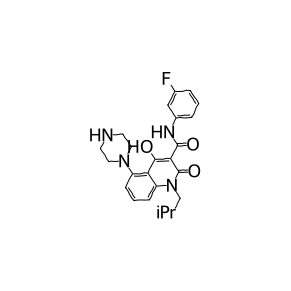 CC(C)Cn1c(=O)c(C(=O)Nc2cccc(F)c2)c(O)c2c(N3CCNCC3)cccc21